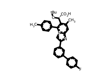 Cc1ccc(-c2c([C@H](OC(C)(C)C)C(=O)O)c(C)cc3nc(-c4cccc(-c5ccc(F)cc5)c4)cn23)cc1